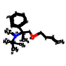 CCCCOC[C@@](C)(c1ccccc1)N(C)[Si](C)(C)C